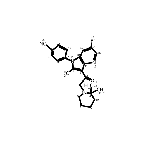 Cc1c(C(=O)CN2CCCCC2(C)C)c2ncc(Br)cc2n1-c1ccc(C#N)cc1